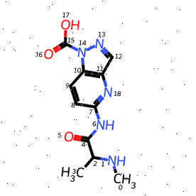 CNC(C)C(=O)Nc1ccc2c(cnn2C(=O)O)n1